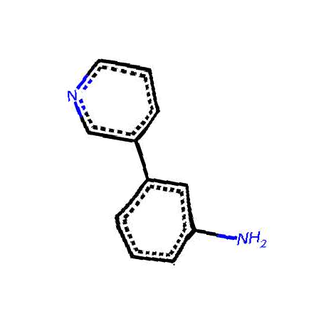 Nc1[c]ccc(-c2cccnc2)c1